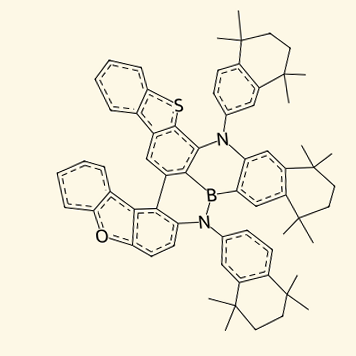 CC1(C)CCC(C)(C)c2cc(N3B4c5cc6c(cc5N(c5ccc7c(c5)C(C)(C)CCC7(C)C)c5c4c(cc4c5sc5ccccc54)-c4c3ccc3oc5ccccc5c43)C(C)(C)CCC6(C)C)ccc21